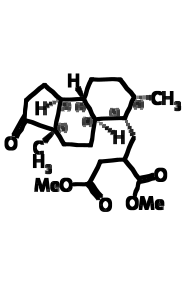 COC(=O)CC(C[C@@H]1[C@H]2CC[C@]3(C)C(=O)CC[C@H]3[C@@H]2CC[C@@H]1C)C(=O)OC